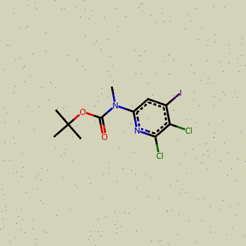 CN(C(=O)OC(C)(C)C)c1cc(I)c(Cl)c(Cl)n1